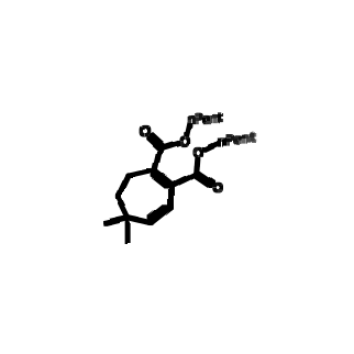 CCCCCOC(=O)C1=C(C(=O)OCCCCC)CCC(C)(C)C=C1